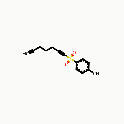 C#CCCCC#CS(=O)(=O)c1ccc(C)cc1